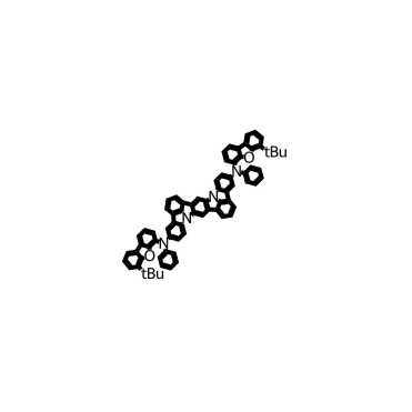 CC(C)(C)c1cccc2c1oc1c(N(c3ccccc3)c3ccc4c(c3)c3cccc5c6cc7c(cc6n4c35)c3cccc4c5cc(N(c6ccccc6)c6cccc8c6oc6c(C(C)(C)C)cccc68)ccc5n7c43)cccc12